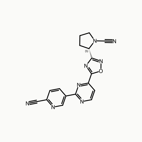 N#Cc1ccc(-c2nccc(-c3nc([C@@H]4CCCN4C#N)no3)n2)cn1